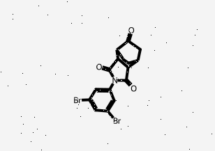 O=C1CC2CCC1C1C(=O)N(c3cc(Br)cc(Br)c3)C(=O)C21